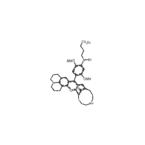 CCOC(=O)CCCN(CC)c1cc(OC)c(-c2c3cc4c(=O)c(c-3oc3c5c6c(cc23)CCCN6CCC5)CCCNCCC4)cc1OC